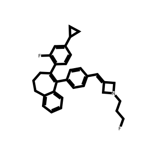 FCCCN1CC(=Cc2ccc(C3=C(c4ccc(C5CC5)cc4F)CCCc4ccccc43)cc2)C1